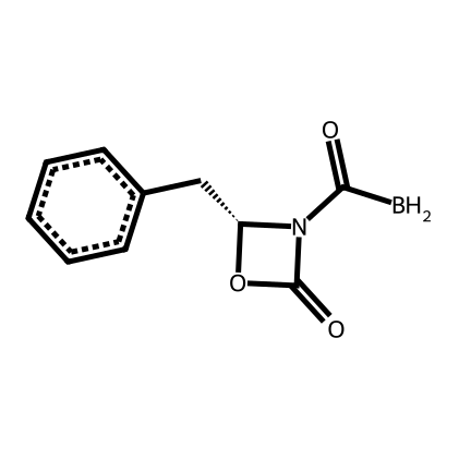 BC(=O)N1C(=O)O[C@@H]1Cc1ccccc1